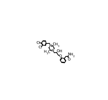 CC1CN(CC(O)COc2ccccc2CC(N)=O)C(C)CN1Cc1ccc(Cl)c(Cl)c1